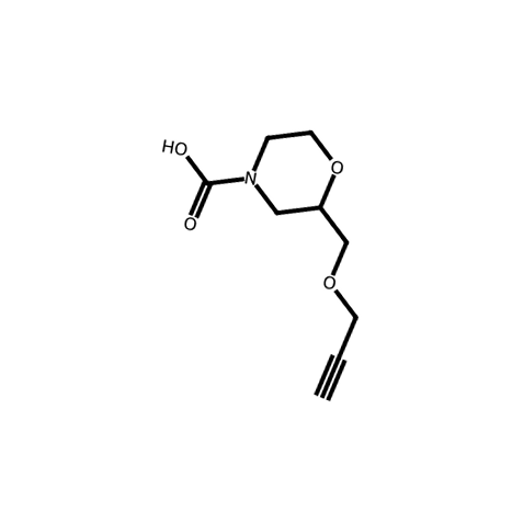 C#CCOCC1CN(C(=O)O)CCO1